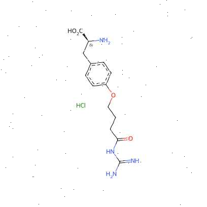 Cl.N=C(N)NC(=O)CCCOc1ccc(C[C@H](N)C(=O)O)cc1